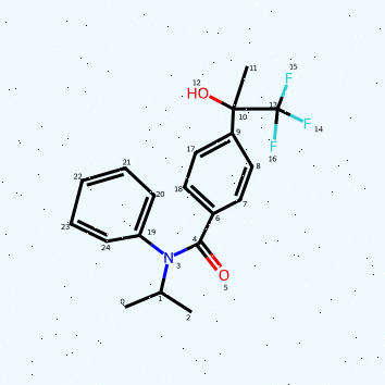 CC(C)N(C(=O)c1ccc(C(C)(O)C(F)(F)F)cc1)c1ccccc1